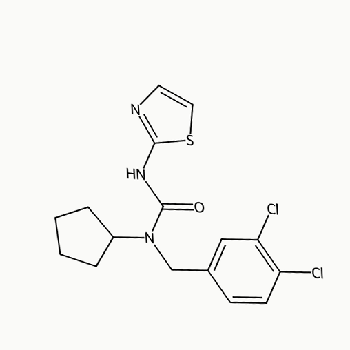 O=C(Nc1nccs1)N(Cc1ccc(Cl)c(Cl)c1)C1CCCC1